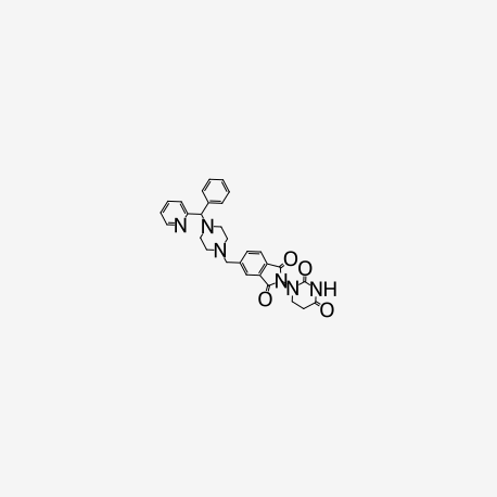 O=C1CCN(N2C(=O)c3ccc(CN4CCN(C(c5ccccc5)c5ccccn5)CC4)cc3C2=O)C(=O)N1